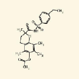 CCc1ccc(S(=O)(=O)NC(=O)C2(C)CCc3c(C)c(OC(C)=O)c(C)c(C)c3O2)cc1